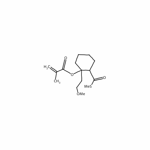 C=C(C)C(=O)OC1(CCOC)CCCCC1C(=O)SC